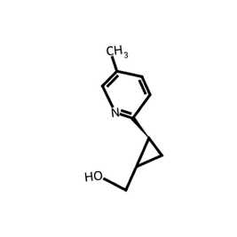 Cc1ccc([C@H]2CC2CO)nc1